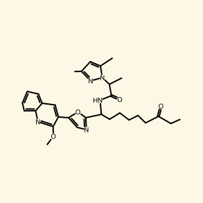 CCC(=O)CCCCCC(NC(=O)C(C)n1nc(C)cc1C)c1ncc(-c2cc3ccccc3nc2OC)o1